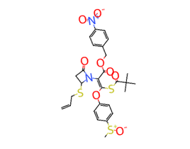 C=CCSC1CC(=O)N1C(C(=O)OCc1ccc([N+](=O)[O-])cc1)=C(Oc1ccc([S+](C)[O-])cc1)SC(=O)C(C)(C)C